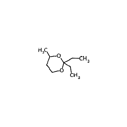 CCC1(CC)OCCC(C)O1